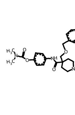 CN(C)C(=O)Oc1ccc(NC(=O)C2(COCc3ccccc3)CCNCC2)cc1